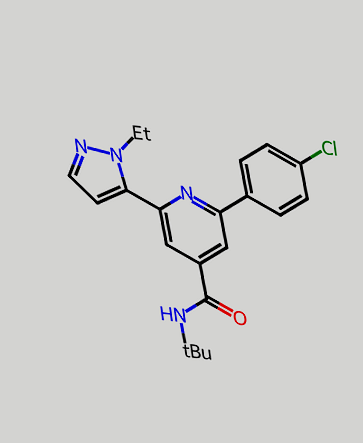 CCn1nccc1-c1cc(C(=O)NC(C)(C)C)cc(-c2ccc(Cl)cc2)n1